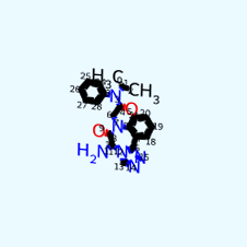 CC(C)N(C(=O)CN1C(=O)C(N)n2cnnc2-c2ccccc21)c1ccccc1